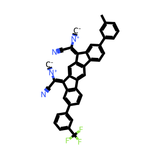 [C-]#[N+]/C(C#N)=C1/c2cc(-c3cccc(C(F)(F)F)c3)ccc2-c2cc3c(cc21)/C(=C(\C#N)[N+]#[C-])c1cc(-c2cccc(C)c2)ccc1-3